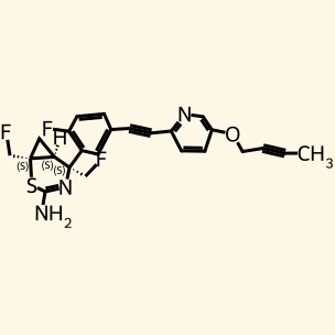 CC#CCOc1ccc(C#Cc2ccc(F)c([C@@]3(CF)N=C(N)S[C@@]4(CF)C[C@H]43)c2)nc1